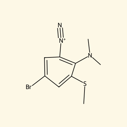 CSc1cc(Br)cc([N+]#N)c1N(C)C